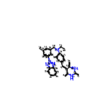 C=C1NC(=C)C(=Cc2ccc(N(CC)Cc3cc(C)cc(-n4nc5ccccc5n4)c3)cc2)C(=C)N1